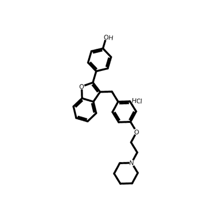 Cl.Oc1ccc(-c2oc3ccccc3c2Cc2ccc(OCCN3CCCCC3)cc2)cc1